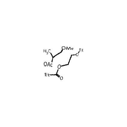 CCOCCOC(=O)CC.COCC(C)OC(C)=O